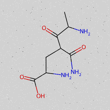 CC(N)C(=O)C(CC(N)C(=O)O)C(N)=O